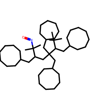 CC(C)(C)C(CC1CCCCCCC1)C(CC1CCCCCCC1)(CC1CCCCCC1)CC(CC1CCCCCCC1)C(C)(C)N=O